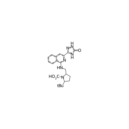 CC(C)(C)C1CCC(CNc2nc(-c3n[nH]c(=O)[nH]3)cc3ccccc23)N1C(=O)O